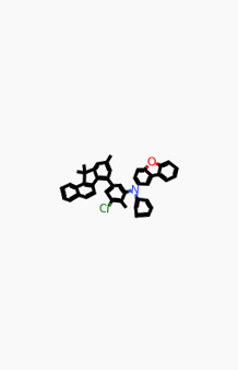 Cc1cc(-c2cc(Cl)c(C)c(N(c3ccccc3)c3ccc4oc5ccccc5c4c3)c2)c2c(c1)C(C)(C)c1c-2ccc2ccccc12